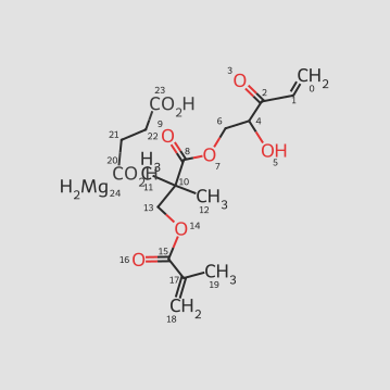 C=CC(=O)C(O)COC(=O)C(C)(C)COC(=O)C(=C)C.O=C(O)CCC(=O)O.[MgH2]